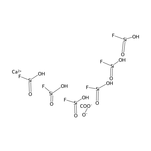 O=C([O-])[O-].O=[Si](O)F.O=[Si](O)F.O=[Si](O)F.O=[Si](O)F.O=[Si](O)F.O=[Si](O)F.[Ca+2]